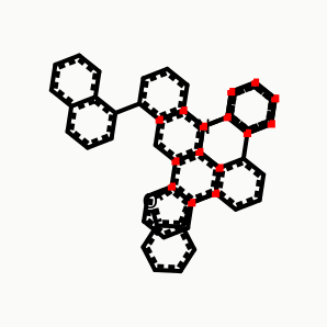 c1ccc(-c2ccccc2-c2c(-c3ccccc3)cccc2-c2ccccc2N(c2cccc(-c3cccc4ccccc34)c2)c2ccc3c(c2)oc2ccccc23)cc1